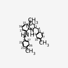 COCC(Cc1ccc(C)cc1)Nc1ncccc1NCc1ccc(C)cc1